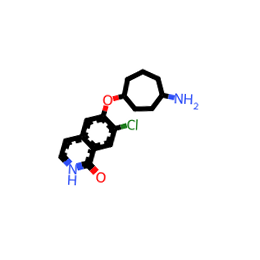 NC1CCCC(Oc2cc3cc[nH]c(=O)c3cc2Cl)CC1